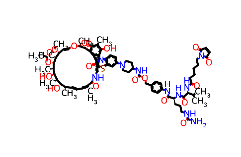 CO[C@H]1/C=C/O[C@@]2(C)Oc3c(C)c(O)c4c(=O)c(c5sc6cc(N7CCC(NC(=O)OCc8ccc(NC(=O)[C@H](CCCNC(N)=O)NC(=O)[C@@H](NC(=O)CCCCCN9C(=O)C=CC9=O)C(C)C)cc8)CC7)ccc6nc-5c4c3C2=O)NC(=O)/C(C)=C\C=C\[C@H](C)[C@H](O)[C@@H](C)[C@@H](O)[C@@H](C)[C@H](OC(C)=O)[C@@H]1C